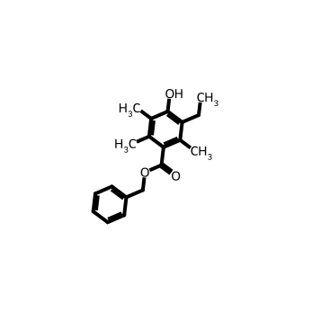 CCc1c(C)c(C(=O)OCc2ccccc2)c(C)c(C)c1O